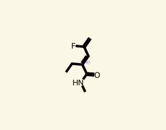 C=C(F)/C=C(\CC)C(=O)NC